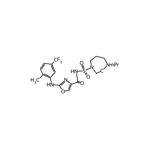 CCCN1CCCN(S(=O)(=O)NC(=O)c2coc(Nc3cc(C(F)(F)F)ccc3C)n2)CC1